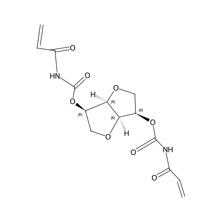 C=CC(=O)NC(=O)O[C@@H]1CO[C@H]2[C@@H]1OC[C@H]2OC(=O)NC(=O)C=C